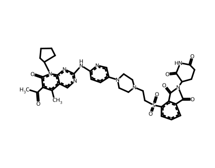 CC(=O)c1c(C)c2cnc(Nc3ccc(N4CCN(CCS(=O)(=O)c5cccc6c5C(=O)N(C5CCC(=O)NC5=O)C6=O)CC4)cn3)nc2n(C2CCCC2)c1=O